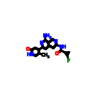 Cc1c[nH]c(=O)cc1-c1cc2cc(NC(=O)C3CC3F)ncc2c(N)n1